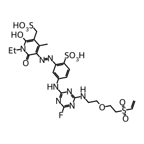 C=CS(=O)(=O)CCOCCNc1nc(F)nc(Nc2ccc(S(=O)(=O)O)c(/N=N/c3c(C)c(CS(=O)(=O)O)c(O)n(CC)c3=O)c2)n1